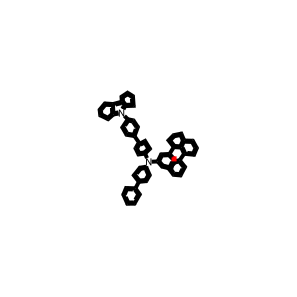 c1ccc(-c2ccc(N(c3ccc(-c4ccc(-n5c6ccccc6c6ccccc65)cc4)cc3)c3cccc(-c4cccc5cccc(-c6ccccc6)c45)c3)cc2)cc1